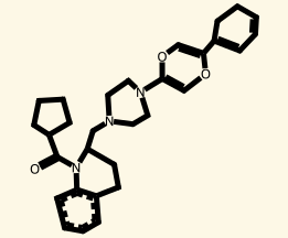 O=C(C1CCCC1)N1c2ccccc2CCC1CN1CCN(C2=COC(C3=CC=CCC3)=CO2)CC1